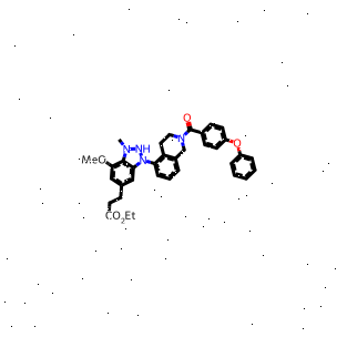 CCOC(=O)CCc1cc(OC)c2c(c1)N(c1cccc3c1CCN(C(=O)c1ccc(Oc4ccccc4)cc1)C3)NN2C